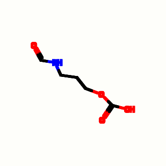 O=CNCCCOC(=O)O